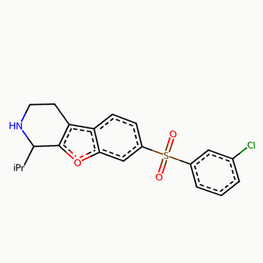 CC(C)C1NCCc2c1oc1cc(S(=O)(=O)c3cccc(Cl)c3)ccc21